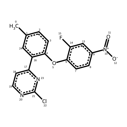 Cc1ccc(Oc2ccc([N+](=O)[O-])cc2F)c(-c2ccnc(Cl)n2)c1